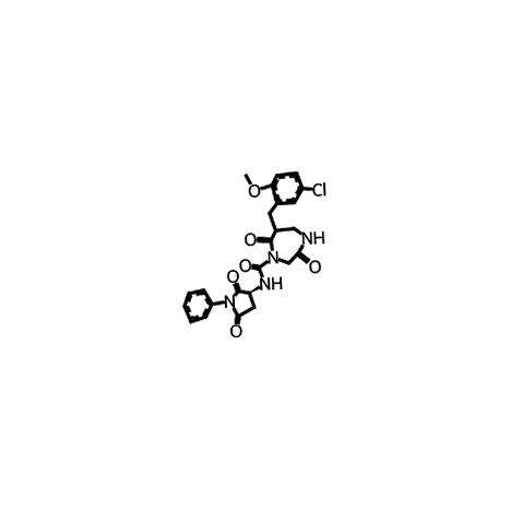 COc1ccc(Cl)cc1CC1CNC(=O)CN(C(=O)N[C@H]2CC(=O)N(c3ccccc3)C2=O)C1=O